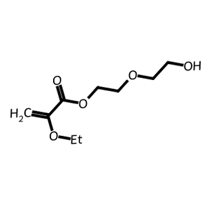 C=C(OCC)C(=O)OCCOCCO